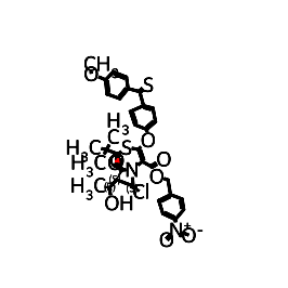 COc1ccc(C(=S)c2ccc(OC(SC(=O)C(C)(C)C)=C(C(=O)OCc3ccc([N+](=O)[O-])cc3)N3C(=O)[C@H]([C@@H](C)O)[C@@H]3Cl)cc2)cc1